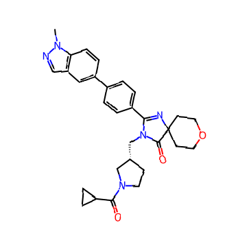 Cn1ncc2cc(-c3ccc(C4=NC5(CCOCC5)C(=O)N4C[C@@H]4CCN(C(=O)C5CC5)C4)cc3)ccc21